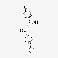 O=C(CCC(O)c1ccc(Cl)cc1)N1CCN(C2CCCC2)CC1